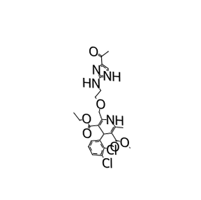 CCOC(=O)C1=C(COCCNc2nc(C(C)=O)c[nH]2)NC(C)=C(C(=O)OC)C1c1cccc(Cl)c1Cl